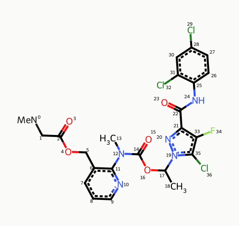 CNCC(=O)OCc1cccnc1N(C)C(=O)OC(C)n1nc(C(=O)Nc2ccc(Cl)cc2Cl)c(F)c1Cl